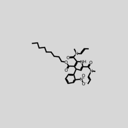 CC=CN(C)C(=O)C1=CC(c2ccccc2[N+](=O)[O-])C(C(=O)OCCCCCCCCC)=C(C(=O)N(C)C=CC)N1